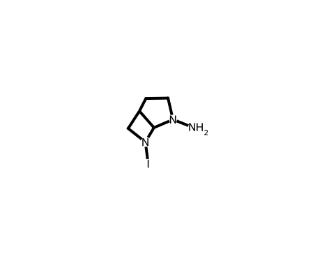 NN1CCC2CN(I)C21